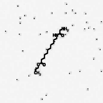 C=CCOC(=O)CCCCCCCCCCNC(=O)CN